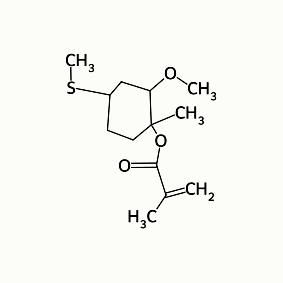 C=C(C)C(=O)OC1(C)CCC(SC)CC1OC